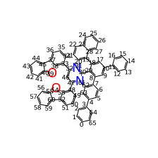 c1ccc(-c2ccc(-c3cc(-c4ccccc4)cc(-c4cccc5ccccc45)c3-c3nc(-c4cccc5c4oc4ccccc45)cc(-c4cccc5c4oc4ccccc45)n3)cc2)cc1